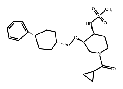 CS(=O)(=O)N[C@H]1CCN(C(=O)C2CC2)C[C@H]1OC[C@H]1CC[C@@H](c2ccccc2)CC1